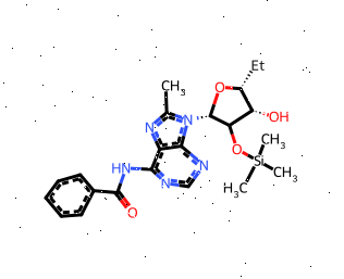 CC[C@H]1O[C@@H](n2c(C)nc3c(NC(=O)c4ccccc4)ncnc32)C(O[Si](C)(C)C)[C@H]1O